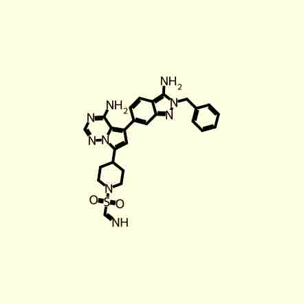 N=CS(=O)(=O)N1CCC(c2cc(-c3ccc4c(N)n(Cc5ccccc5)nc4c3)c3c(N)ncnn23)CC1